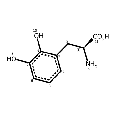 N[C@@H](Cc1cccc(O)c1O)C(=O)O